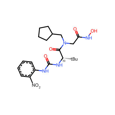 CC(C)(C)[C@H](NC(=O)Nc1ccccc1[N+](=O)[O-])C(=O)N(CC(=O)NO)CC1CCCC1